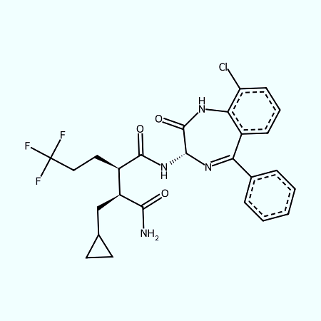 NC(=O)[C@@H](CC1CC1)[C@@H](CCC(F)(F)F)C(=O)N[C@H]1N=C(c2ccccc2)c2cccc(Cl)c2NC1=O